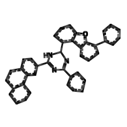 c1ccc(C2=NC(c3cccc4oc5c(-c6ccccc6)cccc5c34)NC(c3ccc4ccc5ccccc5c4c3)=N2)cc1